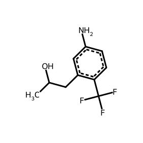 CC(O)Cc1cc(N)ccc1C(F)(F)F